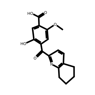 COc1cc(C(=O)c2ccc3c(n2)CCCC3)c(O)cc1C(=O)O